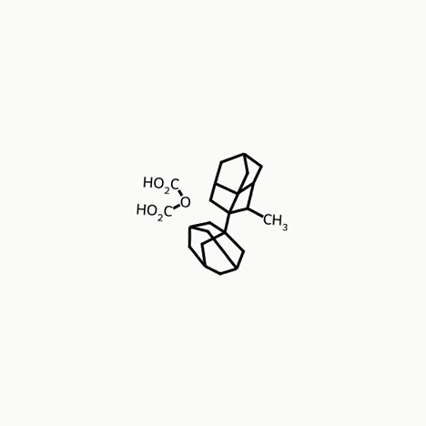 CC1C2CC3CC(C2)CC1(C12CC4CC(CC(C4)C1)C2)C3.O=C(O)OC(=O)O